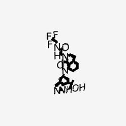 CC(C)(O)c1cc(Nc2cccc3ccn(CC(=O)NCC(F)(F)F)c(=O)c23)cc2cn[nH]c12